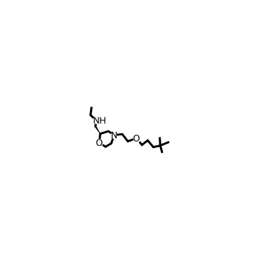 CCNC[C@H]1CN(CCOCCCC(C)(C)C)CCO1